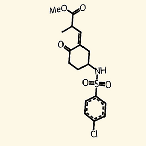 COC(=O)C(C)/C=C1/CC(NS(=O)(=O)c2ccc(Cl)cc2)CCC1=O